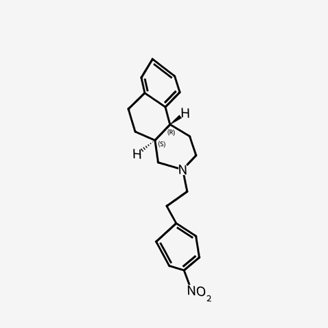 O=[N+]([O-])c1ccc(CCN2CC[C@H]3c4ccccc4CC[C@@H]3C2)cc1